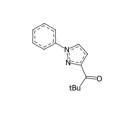 CC(C)(C)C(=O)c1ccn(-c2ccccc2)n1